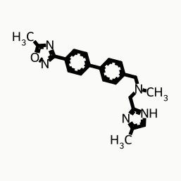 Cc1c[nH]c(CN(C)Cc2ccc(-c3ccc(-c4noc(C)n4)cc3)cc2)n1